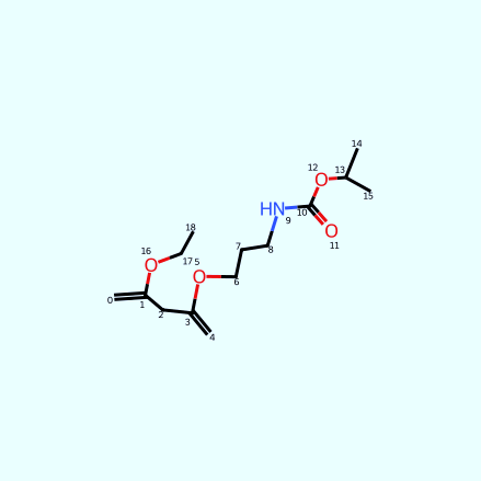 C=C(CC(=C)OCCCNC(=O)OC(C)C)OCC